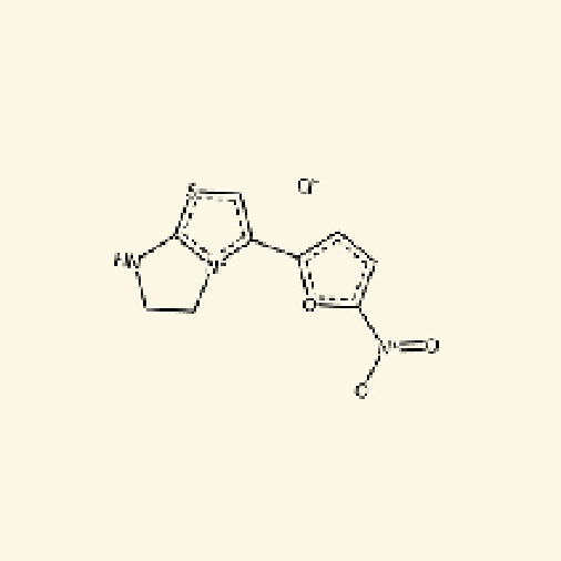 O=[N+]([O-])c1ccc(-c2csc3[n+]2CCN3)o1.[Cl-]